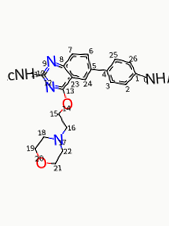 CC(=O)Nc1ccc(-c2ccc3nc(NC(C)=O)nc(OCCN4CCOCC4)c3c2)cc1